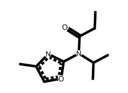 CCC(=O)N(c1nc(C)co1)C(C)C